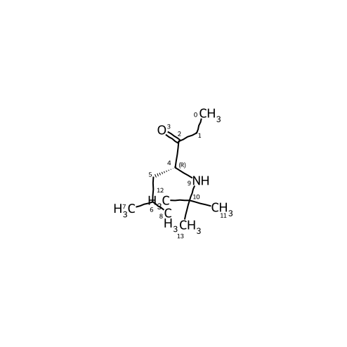 CCC(=O)[C@@H](CC(C)C)NC(C)(C)C